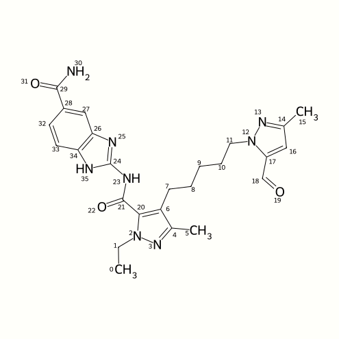 CCn1nc(C)c(CCCCCn2nc(C)cc2C=O)c1C(=O)Nc1nc2cc(C(N)=O)ccc2[nH]1